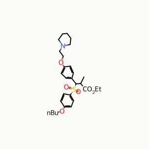 CCCCOc1ccc(S(=O)(=O)C(c2ccc(OCCN3CCCCC3)cc2)C(C)C(=O)OCC)cc1